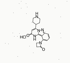 Cl.O=C1CCN1c1cccc2nn3c(C4CCNCC4)cc(=O)[nH]c3c12